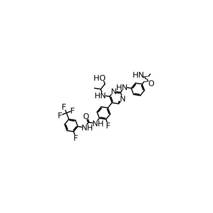 CC(CO)Nc1nc(Nc2cccc(S(C)(=N)=O)c2)ncc1-c1ccc(NC(=O)Nc2cc(C(F)(F)F)ccc2F)c(F)c1